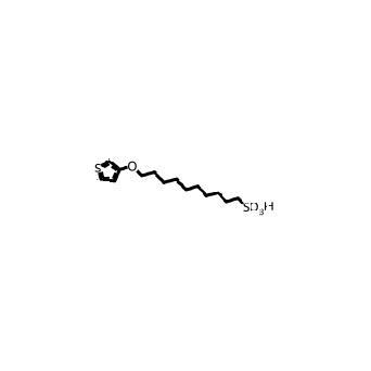 O=S(=O)(O)CCCCCCCCCCOc1[c]s[c]c1